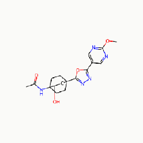 COc1ncc(-c2nnc(C34CCC(NC(C)=O)(CC3)C(O)C4)o2)cn1